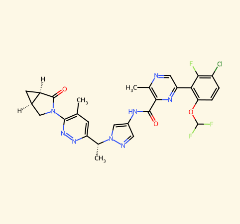 Cc1cc([C@@H](C)n2cc(NC(=O)c3nc(-c4c(OC(F)F)ccc(Cl)c4F)cnc3C)cn2)nnc1N1C[C@H]2C[C@H]2C1=O